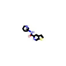 O=C(NC1CC2CCN(CC2)C1)c1cc2ccsc2cn1